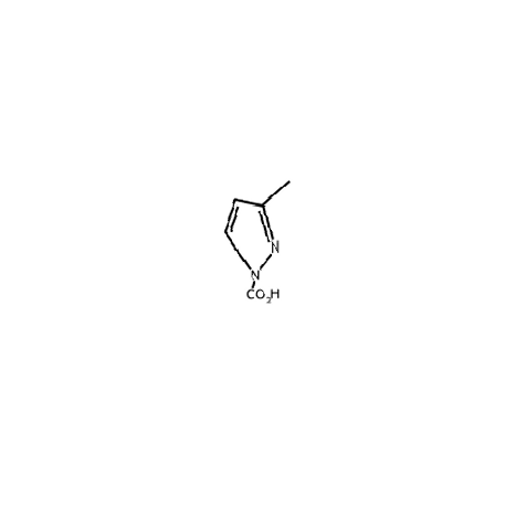 Cc1ccn(C(=O)O)n1